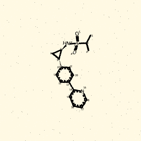 CC(C)S(=O)(=O)N[C@@H]1C[C@H]1c1ccc(-c2ccccn2)cc1